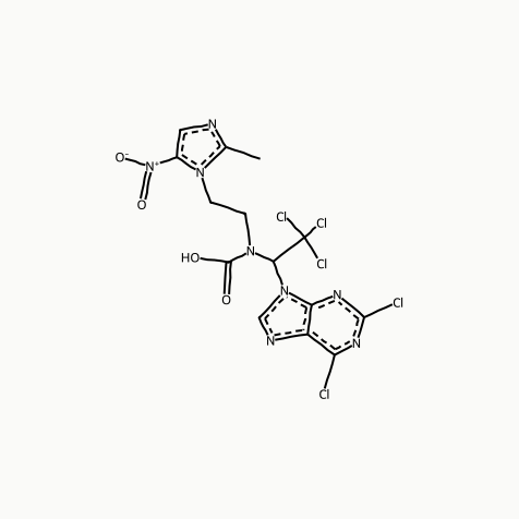 Cc1ncc([N+](=O)[O-])n1CCN(C(=O)O)C(n1cnc2c(Cl)nc(Cl)nc21)C(Cl)(Cl)Cl